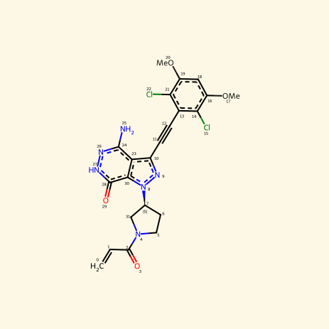 C=CC(=O)N1CC[C@H](n2nc(C#Cc3c(Cl)c(OC)cc(OC)c3Cl)c3c(N)n[nH]c(=O)c32)C1